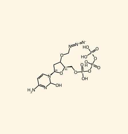 [N-]=[N+]=NCOC1C[C@H](N2C=CC(N)=NC2O)O[C@@H]1COP(=O)(O)OP(=O)(O)OP(=O)(O)O